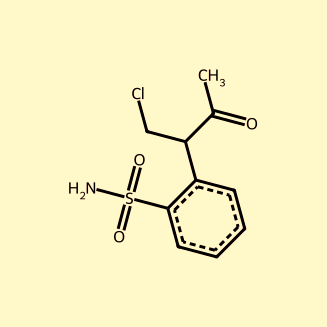 CC(=O)C(CCl)c1ccccc1S(N)(=O)=O